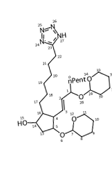 CCCCCC(C=CC1C(OC2CCCCO2)CC(O)C1CCCCCCc1nnn[nH]1)OC1CCCCO1